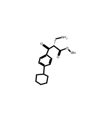 CC(C)(C)OC(=O)[C@@H](CN)C(=O)c1ccc([C]2CCCCC2)cc1